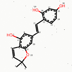 CC1(C)C=Cc2c(O)cc(/C=C/c3ccc(O)cc3O)cc2O1